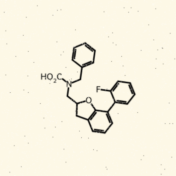 O=C(O)N(Cc1ccccc1)CC1Cc2cccc(-c3ccccc3F)c2O1